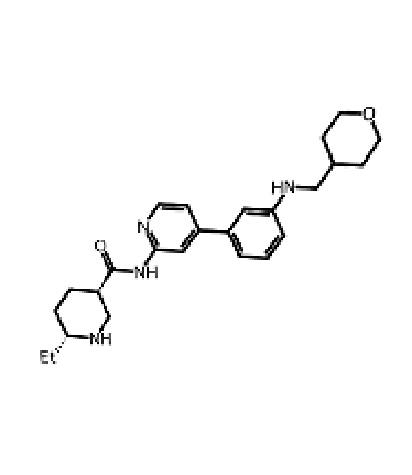 CC[C@@H]1CC[C@@H](C(=O)Nc2cc(-c3cccc(NCC4CCOCC4)c3)ccn2)CN1